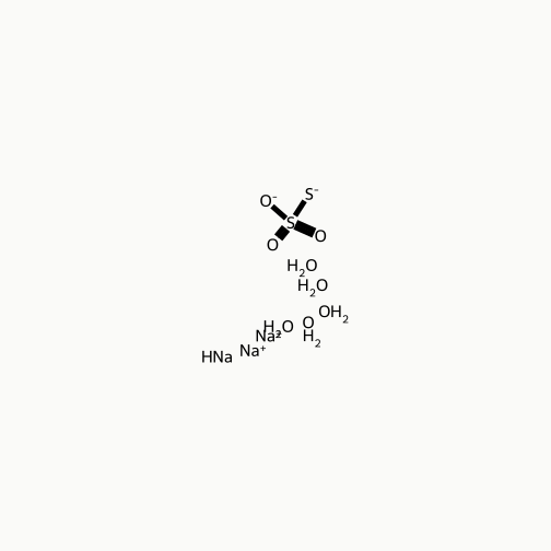 O.O.O.O.O.O=S(=O)([O-])[S-].[Na+].[Na+].[NaH]